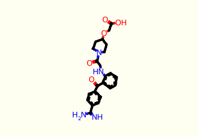 N=C(N)c1ccc(C(=O)c2ccccc2NCC(=O)N2CCC(OCC(=O)O)CC2)cc1